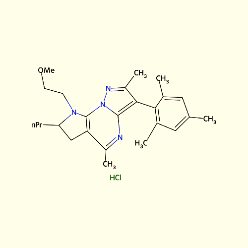 CCCC1Cc2c(C)nc3c(-c4c(C)cc(C)cc4C)c(C)nn3c2N1CCOC.Cl